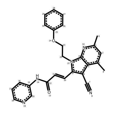 Cc1cc(C)c2c(C#N)c(C=CC(=O)Nc3cccnc3)n(CCOc3ccccc3)c2n1